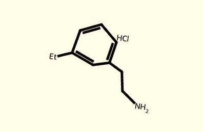 CCc1cccc(CCN)c1.Cl